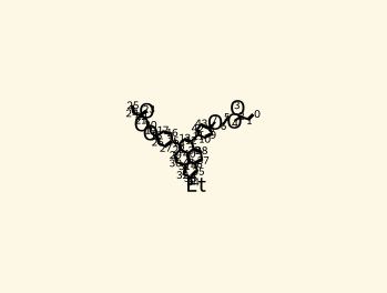 C=CC(=O)OCCOc1ccc(-c2cc(-c3ccc(OCOC(=O)C=C)cc3)c3ccc4cc(CC)cc5ccc2c3c54)cc1